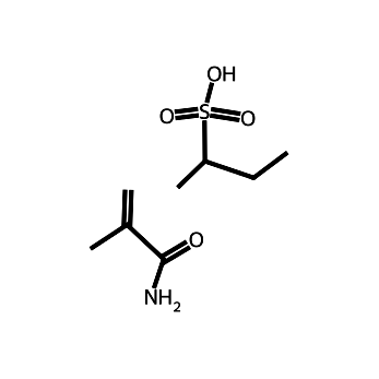 C=C(C)C(N)=O.CCC(C)S(=O)(=O)O